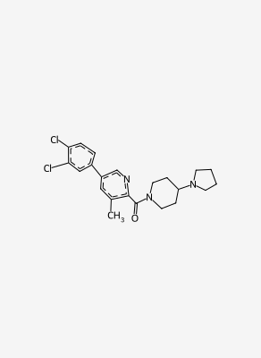 Cc1cc(-c2ccc(Cl)c(Cl)c2)cnc1C(=O)N1CCC(N2CCCC2)CC1